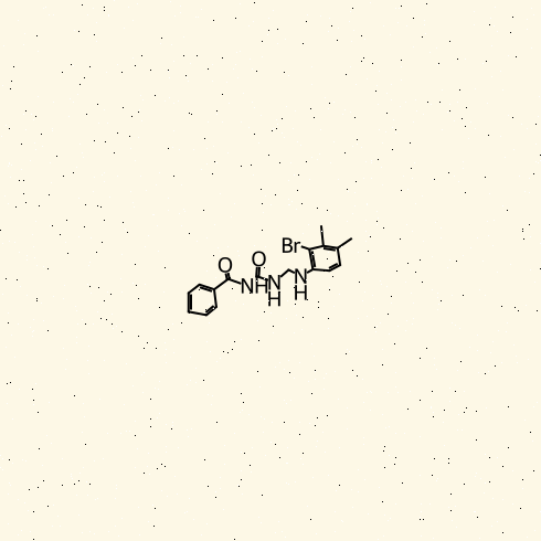 Cc1ccc(NCNC(=O)NC(=O)c2ccccc2)c(Br)c1C